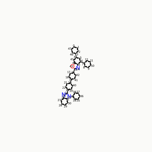 c1ccc(-c2cc(-c3ccccc3)c3nc(-c4ccc(-c5ccc(-c6nc7ccccc7n6-c6ccccc6)cc5)cc4)oc3c2)cc1